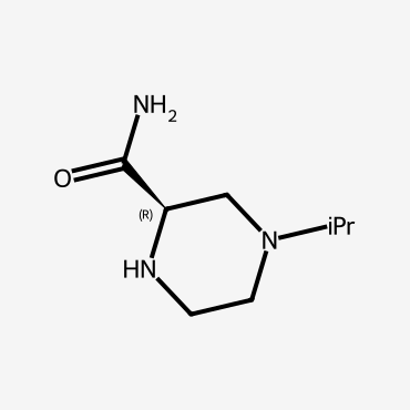 CC(C)N1CCN[C@@H](C(N)=O)C1